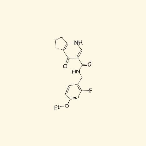 CCOc1ccc(CNC(=O)c2c[nH]c3c(c2=O)CCC3)c(F)c1